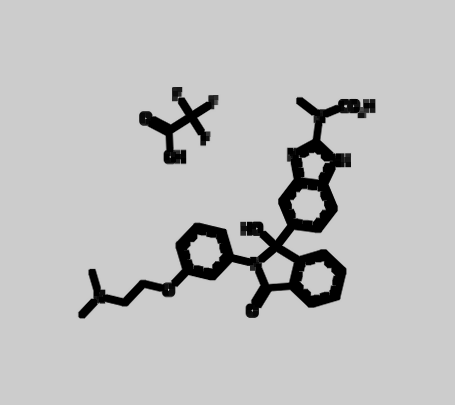 CN(C)CCOc1cccc(N2C(=O)c3ccccc3C2(O)c2ccc3[nH]c(N(C)C(=O)O)nc3c2)c1.O=C(O)C(F)(F)F